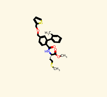 COC(=O)[C@H](CCSC)NC(=O)c1ccc(COCc2cccs2)cc1-c1ccccc1C